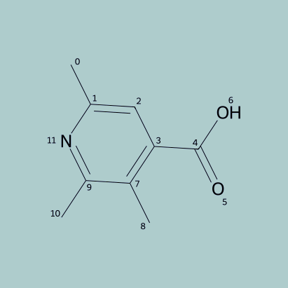 Cc1cc(C(=O)O)c(C)c(C)n1